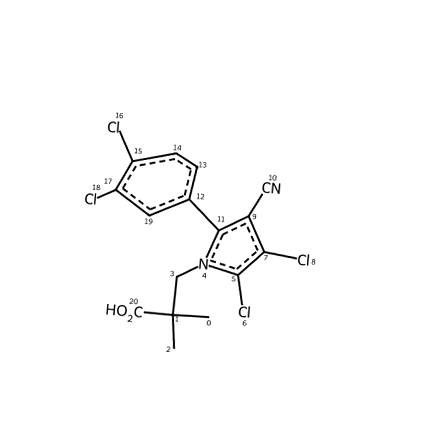 CC(C)(Cn1c(Cl)c(Cl)c(C#N)c1-c1ccc(Cl)c(Cl)c1)C(=O)O